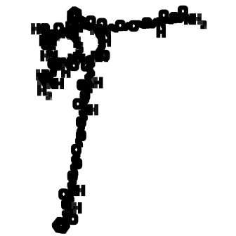 N=C(N)NCCC[C@@H]1NC(=O)[C@@H]2CSSC[C@H](NC(=O)[C@H](CC(=O)O)NC(=O)CNC1=O)C(=O)N[C@@H](Cc1ccccc1)C(=O)N[C@H](C(=O)NCCOCCOCCOCCNC(=O)COCC(N)=O)CSCC(=O)N[C@@H](CCCCNC(=O)COCC(=O)NCCOCCOCCOCCOCCOCCNC(=O)CONCC(=O)c1ccccc1)C(=O)N2